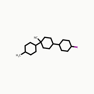 CC1CCC(C2(C#N)CCC(C3CCC(I)CC3)CC2)CC1